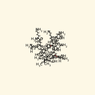 CC[C@H](C)[C@H](NC(=O)[C@@H](NC(=O)[C@H](Cc1ccccc1)NC(=O)[C@H](CCCNC(=N)N)NC(=O)CNC(=O)[C@@H](N)CCCCN)[C@@H](C)O)C(=O)N[C@@H](CO)C(=O)N[C@@H](CCCNC(=N)N)C(=O)N[C@@H](CC(=O)O)C(=O)N[C@@H](CC(N)=O)C(=O)N[C@@H](C)C(=O)N[C@@H](CCCCN)C(=O)N[C@@H](CC(N)=O)C(=O)O